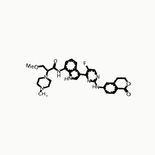 COCC(C(=O)Nc1cccc2c(-c3nc(Nc4ccc5c(c4)CCOC5=O)ncc3F)c[nH]c12)N1CCN(C)CC1